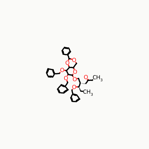 CCC(=O)C[C@@H](COC1OC2COC(c3ccccc3)OC2C(OCc2ccccc2)C1OCc1ccccc1)[C@@H](CC)OCc1ccccc1